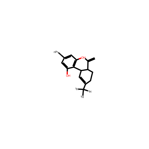 [2H]C([2H])([2H])C1=CC(c2c(O)cc(CCC)cc2O)C(C(=C)C)CC1